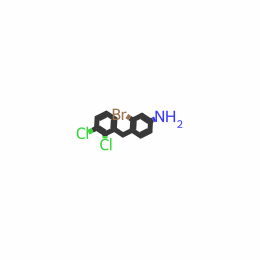 Nc1ccc(Cc2cccc(Cl)c2Cl)c(Br)c1